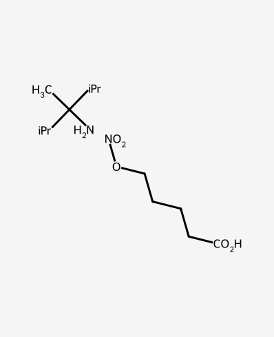 CC(C)C(C)(N)C(C)C.O=C(O)CCCCO[N+](=O)[O-]